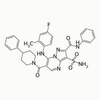 Cc1cc(F)ccc1Nc1c(C(=O)N2CCC(c3ccccc3)CC2)cnc2c(S(N)(=O)=O)c(C(=O)Nc3ccccc3)nn12